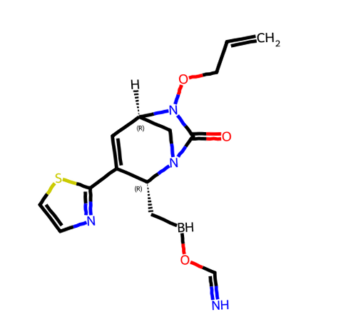 C=CCON1C(=O)N2C[C@H]1C=C(c1nccs1)[C@H]2CBOC=N